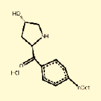 CCCCCCCCc1ccc(C(=O)[C@H]2C[C@H](O)CN2)cc1.Cl